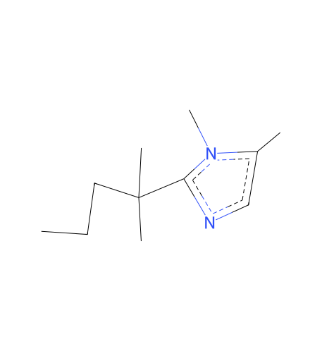 CCCC(C)(C)c1ncc(C)n1C